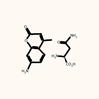 Cc1cc(=O)oc2cc(N)ccc12.NC(=O)C[C@H](N)C(=O)O